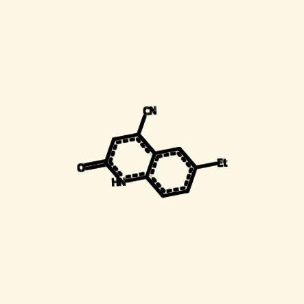 CCc1ccc2[nH]c(=O)cc(C#N)c2c1